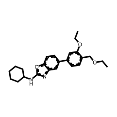 CCOCc1ccc(-c2ccc3oc(NC4CCCCC4)nc3c2)cc1OCC